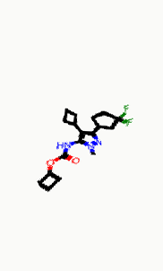 Cn1nc(C2CCC(F)(F)C2)c(C2CCC2)c1NC(=O)OC1CCC1